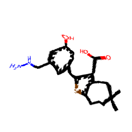 CC1(C)CCc2sc(-c3cc(O)cc(CNN)c3)c(C(=O)O)c2C1